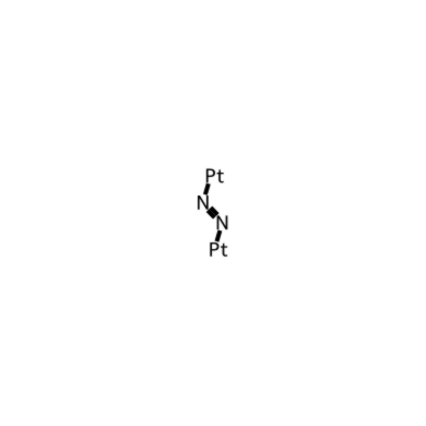 [Pt][N]=[N][Pt]